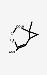 COC(=CC1CC1(C)C)C(F)(F)F.O=C(O)Cl